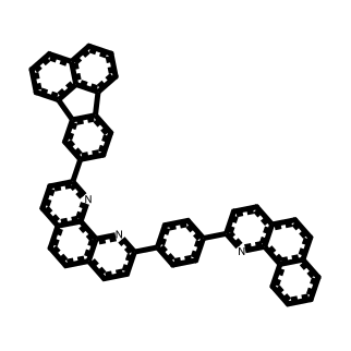 c1cc2c3c(cccc3c1)-c1cc(-c3ccc4ccc5ccc(-c6ccc(-c7ccc8ccc9ccccc9c8n7)cc6)nc5c4n3)ccc1-2